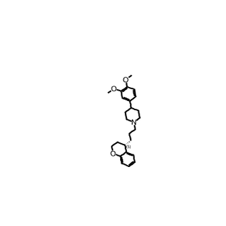 COc1ccc(C2CCN(CCC[C@H]3CCOc4ccccc43)CC2)cc1OC